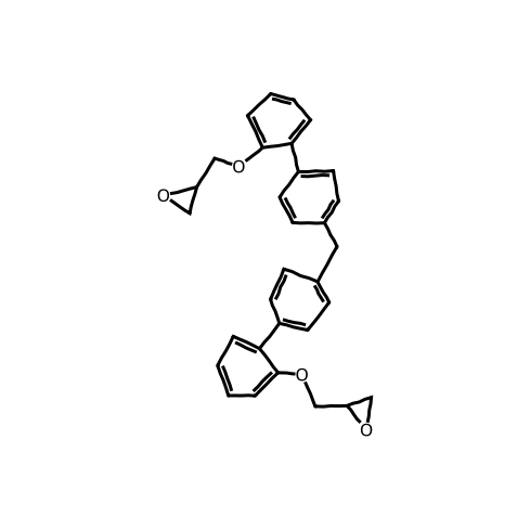 c1ccc(-c2ccc(Cc3ccc(-c4ccccc4OCC4CO4)cc3)cc2)c(OCC2CO2)c1